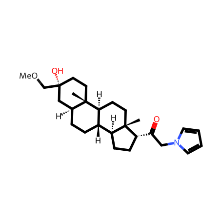 COC[C@@]1(O)CC[C@@]2(C)[C@@H](CC[C@@H]3[C@@H]2CC[C@]2(C)[C@H](C(=O)Cn4cccc4)CC[C@@H]32)C1